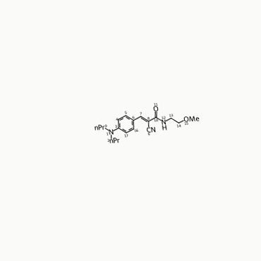 CCCN(CCC)c1ccc(/C=C(\C#N)C(=O)NCCOC)cc1